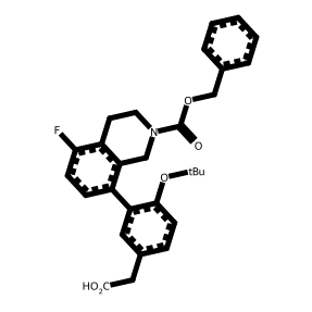 CC(C)(C)Oc1ccc(CC(=O)O)cc1-c1ccc(F)c2c1CN(C(=O)OCc1ccccc1)CC2